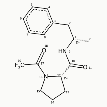 C[C@@H](Cc1ccccc1)NC(=O)[C@@H]1CCCN1C(=O)C(F)(F)F